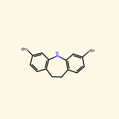 CC(C)(C)c1ccc2c(c1)Nc1cc(C(C)(C)C)ccc1CC2